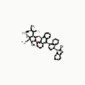 B/C(C#C)=C(\B)c1c(B)c(B)c(B)c(B)c1Cc1c2ccccc2c(-c2ccc(-n3c(CC)nc4ccccc43)c3ccccc23)c2ccccc12